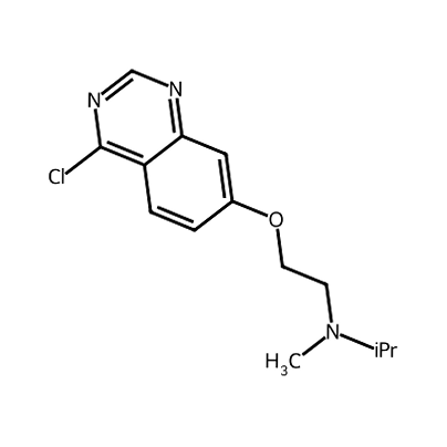 CC(C)N(C)CCOc1ccc2c(Cl)ncnc2c1